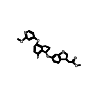 COC(=O)CC1COc2cc(O[C@@H]3CCc4c(Oc5ccnc(OC)c5)ccc(F)c43)ccc21